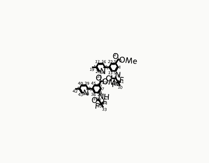 COC(=O)c1cc(N=C(Cl)C(C)(F)F)cc(-c2ccc(C)cn2)c1.COC(=O)c1cc(NC(=O)C(C)(F)F)cc(-c2ccc(C)cn2)c1